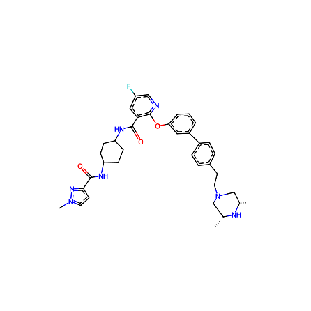 C[C@@H]1CN(CCc2ccc(-c3cccc(Oc4ncc(F)cc4C(=O)NC4CCC(NC(=O)c5ccn(C)n5)CC4)c3)cc2)C[C@H](C)N1